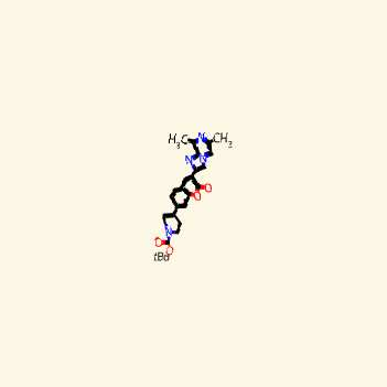 Cc1cn2cc(-c3cc4ccc(C5=CCN(C(=O)OC(C)(C)C)CC5)cc4oc3=O)nc2c(C)n1